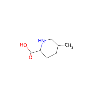 CC1CCC(C(=O)O)NC1